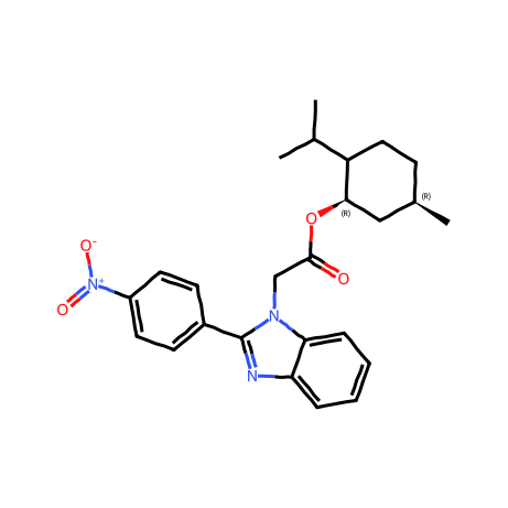 CC(C)C1CC[C@@H](C)C[C@H]1OC(=O)Cn1c(-c2ccc([N+](=O)[O-])cc2)nc2ccccc21